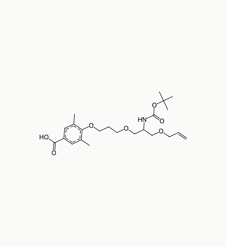 C=CCOCC(COCCCOc1c(C)cc(C(=O)O)cc1C)NC(=O)OC(C)(C)C